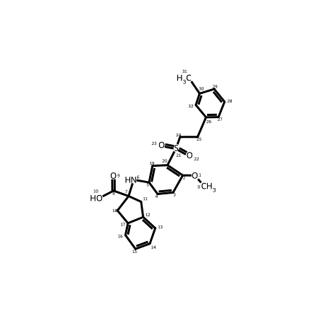 COc1ccc(NC2(C(=O)O)Cc3ccccc3C2)cc1S(=O)(=O)CCc1cccc(C)c1